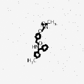 Cc1ccc(C(NC(=O)Cc2ccc(OCc3noc(C)n3)cc2)c2ccccc2)cc1